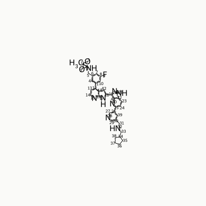 CS(=O)(=O)NCc1cc(F)cc(-c2ccnc3[nH]c(-c4n[nH]c5ccc(-c6cncc(CNCC7CCCC7)c6)nc45)cc23)c1